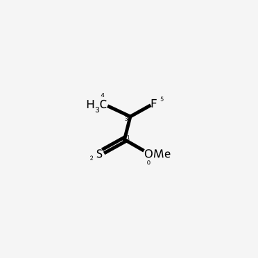 COC(=S)C(C)F